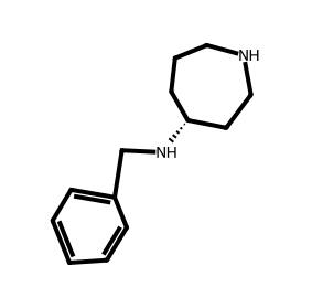 c1ccc(CN[C@@H]2CCCNCC2)cc1